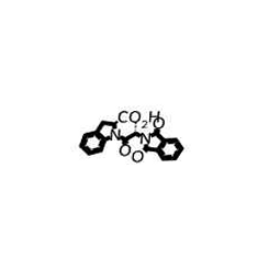 C[C@@H](C(=O)N1c2ccccc2C[C@H]1C(=O)O)N1C(=O)c2ccccc2C1=O